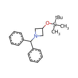 CC(C)(C)[Si](C)(C)OC1CN(C(c2ccccc2)c2ccccc2)C1